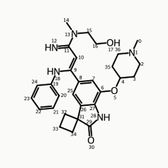 CN1CCC(Oc2cc(/C(=C/C(=N)N(C)CCO)Nc3ccccc3)cc3c2NC(=O)C32CCC2)CC1